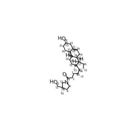 C[C@H](CCC(=O)N1CC[C@@](C)(CO)C1)[C@H]1CC[C@H]2[C@@H]3CC=C4C[C@@H](O)CC[C@]4(C)[C@H]3CC[C@]12C